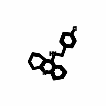 Clc1ccc(CNc2c3c(nc4ccccc24)CCC=C3)cc1